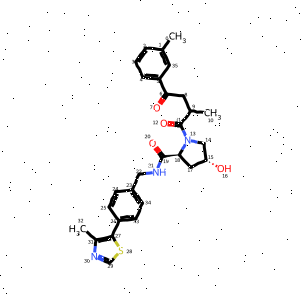 Cc1cccc(C(=O)CC(C)C(=O)N2C[C@H](O)C[C@H]2C(=O)NCc2ccc(-c3scnc3C)cc2)c1